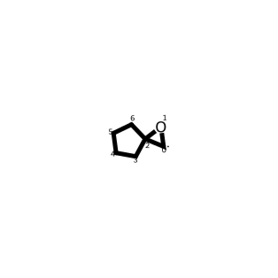 [CH]1OC12CCCC2